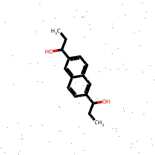 CCC(O)c1ccc2cc(C(O)CC)ccc2c1